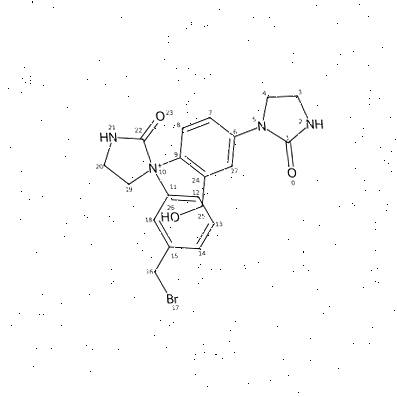 O=C1NCCN1c1ccc([N+]2(c3cccc(CBr)c3)CCNC2=O)c(CO)c1